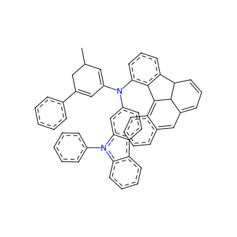 CC1C=C(N(c2ccc3c4ccccc4n(-c4ccccc4)c3c2)c2cccc3c2C2=c4ccccc4=CC4=CC=CC3C42)C=C(c2ccccc2)C1